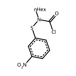 CCCCCCN(Sc1cccc([N+](=O)[O-])c1)C(=O)Cl